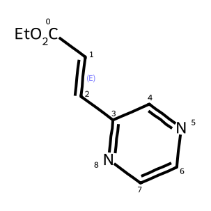 CCOC(=O)/C=C/c1cnccn1